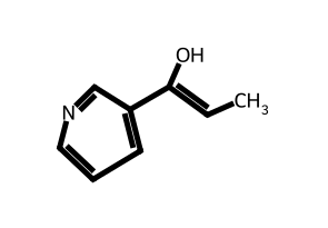 CC=C(O)c1cccnc1